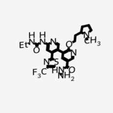 CCNC(=O)Nc1cc(-c2nc(C(F)(F)F)cs2)c(-c2cc(C(=O)NN)cnc2OCCC2CCCN2C)cn1